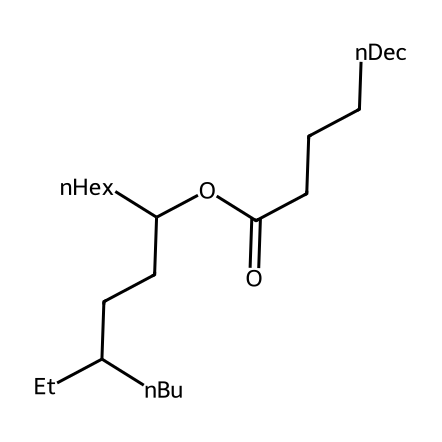 CCCCCCCCCCCCCC(=O)OC(CCCCCC)CCC(CC)CCCC